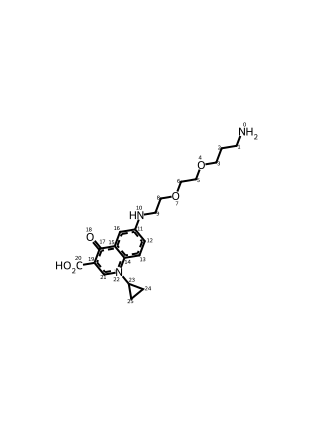 NCCCOCCOCCNc1ccc2c(c1)c(=O)c(C(=O)O)cn2C1CC1